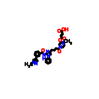 CN1CCN(C(=O)CCCc2cn(-c3ccccc3)c(NC(=O)c3cccc(-c4cnn(C)c4)c3)n2)CC1OC(=O)/C=C/C(=O)O